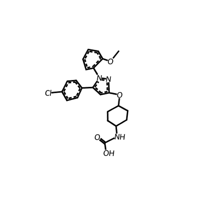 COc1ccccc1-n1nc(OC2CCC(NC(=O)O)CC2)cc1-c1ccc(Cl)cc1